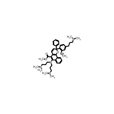 CNc1cc(CCCN(C)C)ccc1C1(c2ccccc2)C=Cc2c(C(=O)OC)c(N(CCCN(C)C)CCCN(C)C)c3ccccc3c2O1